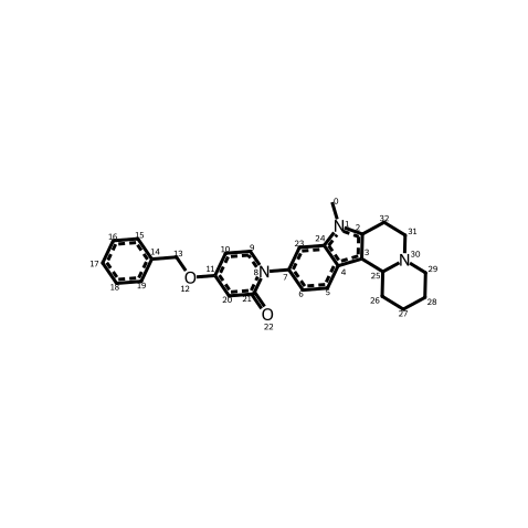 Cn1c2c(c3ccc(-n4ccc(OCc5ccccc5)cc4=O)cc31)C1CCCCN1CC2